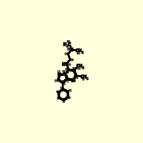 Cc1nc2c(-c3ccccc3)cnn2c(NCCN(C)C)c1C